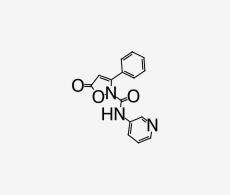 O=C(Nc1cccnc1)n1oc(=O)cc1-c1ccccc1